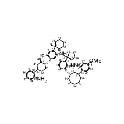 CC1(c2cc(F)ccc2N)CCCCC1.CC1(c2ccccc2N)CCCC1.CC1CCCC(c2ccccc2N)C1.COc1ccc(C2CCCCCCC2)c(N)c1